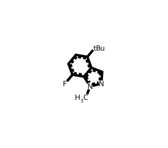 Cn1ncc2c(C(C)(C)C)ccc(F)c21